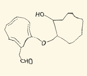 O=Cc1ccccc1OC1CCCCC1O